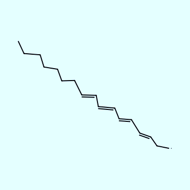 [CH2]CC=CC=CC=CC=CCCCCCCC